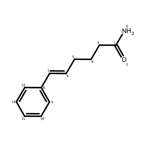 NC(=O)CCCC=Cc1ccccc1